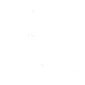 CCCCN(CCCC)CCCNC(=O)C(C)CC